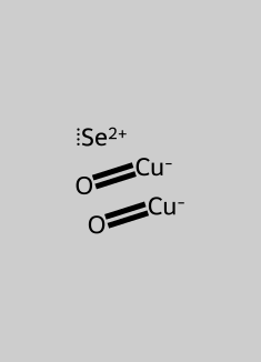 [O]=[Cu-].[O]=[Cu-].[Se+2]